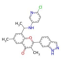 Cc1cc(C(C)Nc2ccc(Cl)nc2)c2oc(-c3ccc4cn[nH]c4c3)c(C)c(=O)c2c1